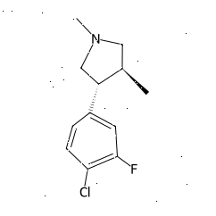 C[C@@H]1CN(C)C[C@H]1c1ccc(Cl)c(F)c1